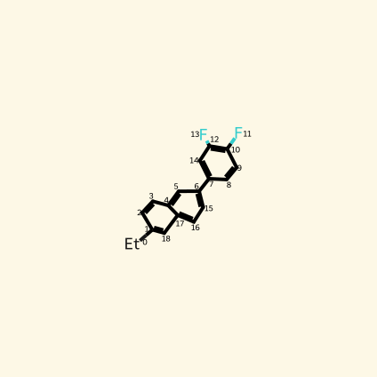 CCc1ccc2cc(-c3ccc(F)c(F)c3)ccc2c1